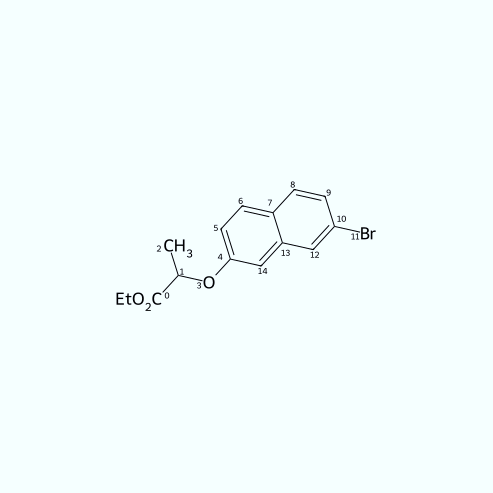 CCOC(=O)C(C)Oc1ccc2ccc(Br)cc2c1